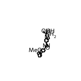 COc1cc(-c2nc(-c3ccc4c(c3)CCN4CC(N)(CO)CO)no2)ccc1C12CC3CC(CC(C3)C1)C2